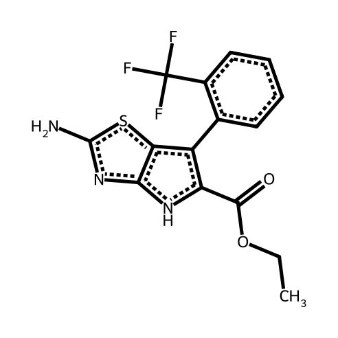 CCOC(=O)c1[nH]c2nc(N)sc2c1-c1ccccc1C(F)(F)F